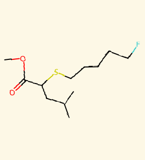 COC(=O)C(CC(C)C)SCCCCCF